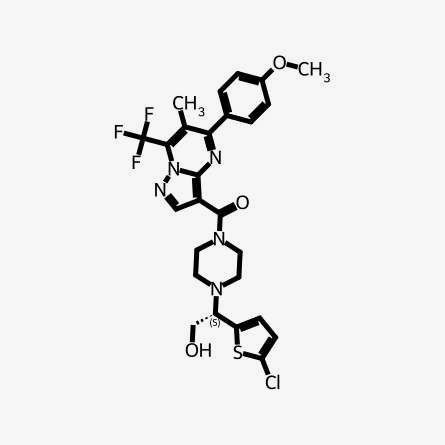 COc1ccc(-c2nc3c(C(=O)N4CCN([C@@H](CO)c5ccc(Cl)s5)CC4)cnn3c(C(F)(F)F)c2C)cc1